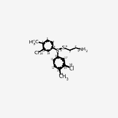 Cc1ccc(B(SCCN)c2ccc(C)c(Cl)c2)cc1Cl